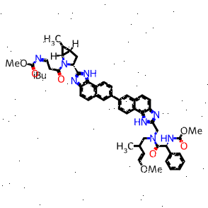 CC[C@H](C)C(/C=N\C(=O)OC)C(=O)N1[C@@H]2C(C)[C@@H]2C[C@H]1c1nc2ccc3cc(-c4ccc5c(ccc6nc(CN(CC(C)/C=C/OC)C(=O)[C@H](NC(=O)OC)c7ccccc7)[nH]c65)c4)ccc3c2[nH]1